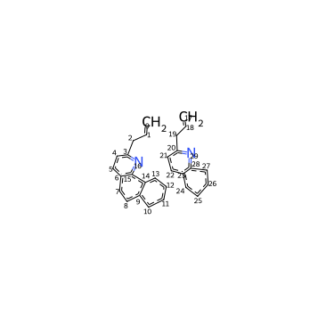 C=CCc1ccc2ccc3ccccc3c2n1.C=CCc1ccc2ccccc2n1